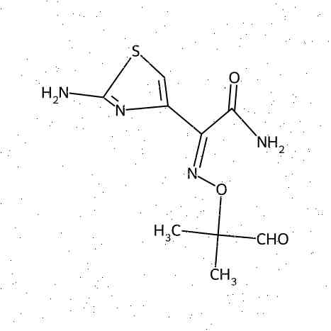 CC(C)(C=O)O/N=C(\C(N)=O)c1csc(N)n1